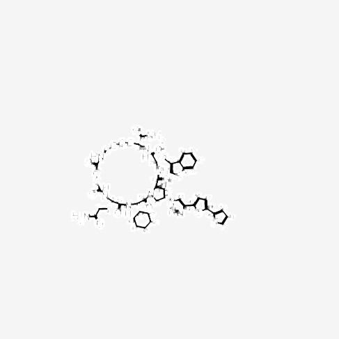 NC(=O)CC[C@@H]1NC(=O)CCC(=O)NCCCC[C@@H](C(N)=O)NC(=O)[C@H](Cc2csc3ccccc23)NC(=O)[C@@H]2C[C@H](n3cc(-c4ccc(-c5cccs5)s4)nn3)CN2C(=O)[C@H](C2CCCCC2)NC1=O